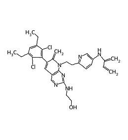 C=CC(=C)Nc1ccc(CCN2C(=C)C(c3c(Cl)c(CC)cc(CC)c3Cl)=Cc3cnc(NCCO)nc32)nc1